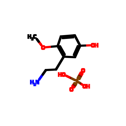 COc1ccc(O)cc1CCN.O=S(=O)(O)O